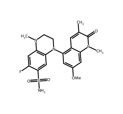 COc1cc(N2CCN(C)c3cc(F)c(S(N)(=O)=O)cc32)c2cc(C)c(=O)n(C)c2c1